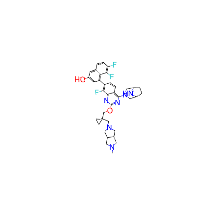 CN1CC2CN(CC3(COc4nc(N5CC6CCC(C5)N6)c5ccc(-c6cc(O)cc7ccc(F)c(F)c67)c(F)c5n4)CC3)CC2C1